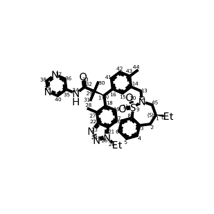 CC[C@H]1Cc2ccccc2S(=O)(=O)N(Cc2cc([C@@H](c3ccc4c(nnn4CC)c3C)C(C)(C)C(=O)Nc3cncnc3)ccc2C)C1